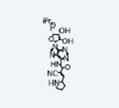 CC(C)OC[C@H]1O[C@@H](n2cnc3c(NC(=O)/C(C#N)=C/C4CCCN4)ncnc32)[C@H](O)[C@@H]1O